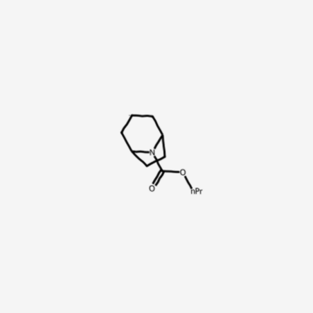 CCCOC(=O)N1C2C[CH]CC1CC2